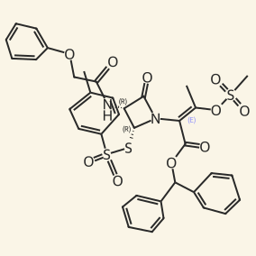 C/C(OS(C)(=O)=O)=C(/C(=O)OC(c1ccccc1)c1ccccc1)N1C(=O)[C@@H](NC(=O)COc2ccccc2)[C@H]1SS(=O)(=O)c1ccc(C)cc1